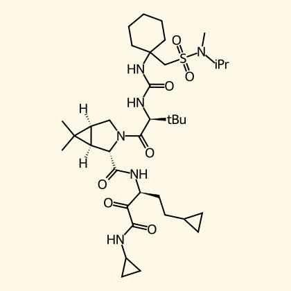 CC(C)N(C)S(=O)(=O)CC1(NC(=O)N[C@H](C(=O)N2C[C@H]3[C@@H]([C@H]2C(=O)N[C@@H](CCC2CC2)C(=O)C(=O)NC2CC2)C3(C)C)C(C)(C)C)CCCCC1